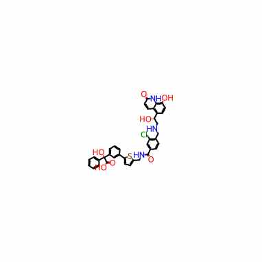 O=C(NCc1ccc(-c2cccc([C@](O)(C(=O)O)c3ccccc3)c2)s1)c1ccc(CNC[C@H](O)c2ccc(O)c3[nH]c(=O)ccc23)c(Cl)c1